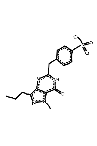 CCCc1nn(C)c2c(=O)[nH]c(Cc3ccc(S(=O)(=O)Cl)cc3)nc12